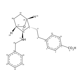 O=C(O)c1ccc(CC[C@@H]2[C@@H](NCc3ccccc3)[C@@H]3CC[C@H]2O3)cc1